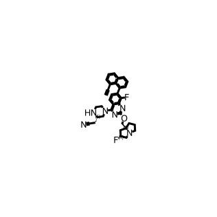 C#Cc1cccc2cccc(-c3ccc4c(N5CCN[C@@H](CC#N)C5)nc(OC[C@@]56CCCN5C[C@H](F)C6)nc4c3F)c12